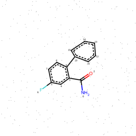 NC(=O)c1cc(F)ccc1-c1ccccc1